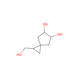 OCC1CC12CC(O)C(O)C2